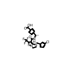 C[C@H](NC(=O)c1c(C(F)(F)F)nn2c1N(Cc1cccc(Cl)c1)CC2)c1ccc(C(=O)O)cc1